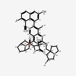 C#Cc1c(F)ccc2cc(O)cc(-c3ncc4c(N5CC6CCC(C5)N6C(=O)C5OC(=O)C5(C)C)nc(OCC56CCCN5CC(F)C6)nc4c3F)c12